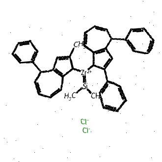 CC1=CC2=C(C=CC=CC2c2ccccc2)[CH]1[Zr+2]([CH]1C(c2ccccc2)=CC2=C1C=CC=CC2c1ccccc1)=[Si](C)C.[Cl-].[Cl-]